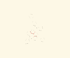 c1ccc(-c2ccc(N(c3ccccc3)c3ccccc3-c3cccc(-c4ccccc4N(c4ccccc4)c4ccc(-c5ccccc5)cc4)c3)cc2)cc1